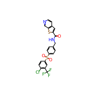 O=C(NCc1ccc(S(=O)(=O)c2ccc(Cl)c(C(F)(F)F)c2)cc1)c1cc2ccncc2s1